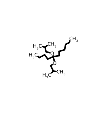 CCCCCCC(CCCC)(OCC(C)C)OCC(C)C